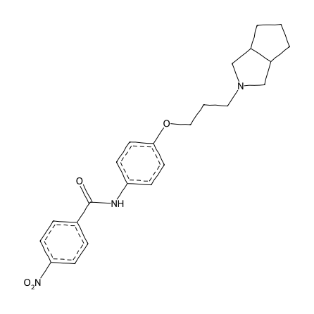 O=C(Nc1ccc(OCCCN2CC3CCCC3C2)cc1)c1ccc([N+](=O)[O-])cc1